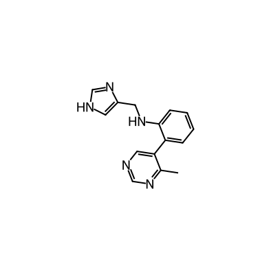 Cc1ncncc1-c1ccccc1NCc1c[nH]cn1